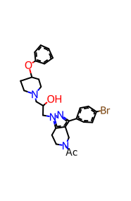 CC(=O)N1CCc2c(c(-c3ccc(Br)cc3)nn2CC(O)CN2CCC(Oc3ccccc3)CC2)C1